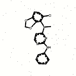 CN(c1ccnc(Nc2ccccc2)n1)c1c(Cl)ccc2c1OCO2